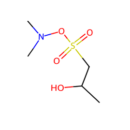 CC(O)CS(=O)(=O)ON(C)C